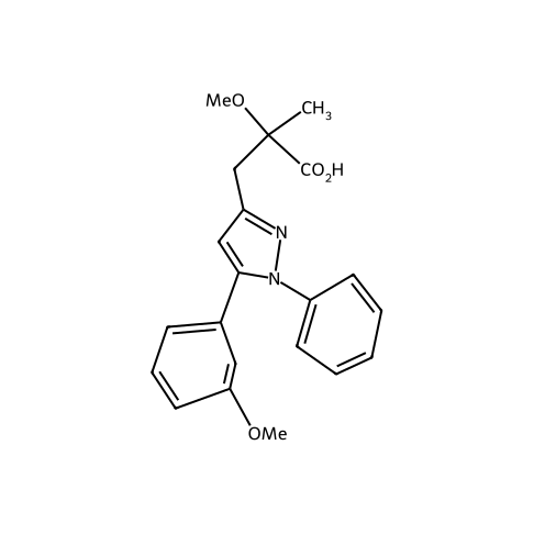 COc1cccc(-c2cc(CC(C)(OC)C(=O)O)nn2-c2ccccc2)c1